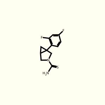 NC(=S)N1CC2CC2(c2ccc(F)cc2F)C1